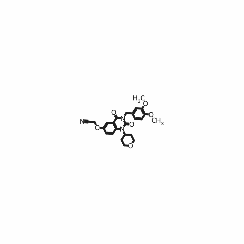 COc1ccc(Cn2c(=O)c3cc(OCC#N)ccc3n(C3CCOCC3)c2=O)cc1OC